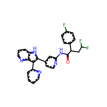 O=C(Nc1cc(-c2[nH]c3cccnc3c2-c2ccccn2)ccn1)C(CC(F)F)c1ccc(F)cc1